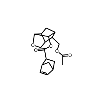 CC(=O)OCC1C2COC3C2CC1C3OC(=O)C1CC2C=CC1C2